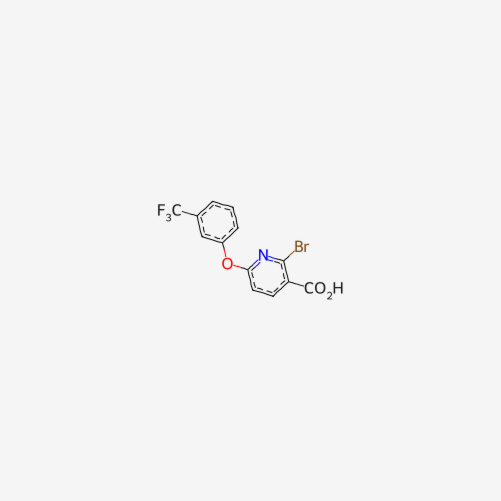 O=C(O)c1ccc(Oc2cccc(C(F)(F)F)c2)nc1Br